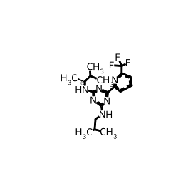 CC(C)CNc1nc(N[C@@H](C)C(C)C)nc(-c2cccc(C(F)(F)F)n2)n1